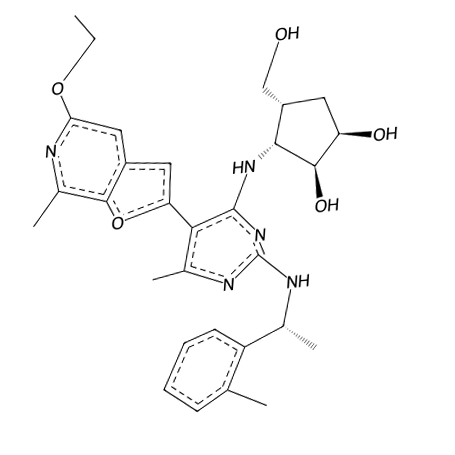 CCOc1cc2cc(-c3c(C)nc(N[C@H](C)c4ccccc4C)nc3N[C@@H]3[C@H](CO)C[C@@H](O)[C@H]3O)oc2c(C)n1